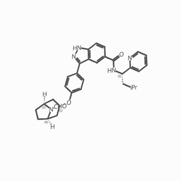 CC(C)C[C@H](NC(=O)c1ccc2[nH]nc(-c3ccc(O[C@@H]4C[C@H]5CC[C@@H](C4)N5C=O)cc3)c2c1)c1ccccn1